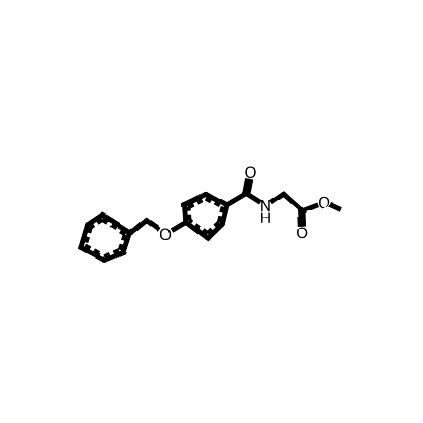 COC(=O)CNC(=O)c1ccc(OCc2ccccc2)cc1